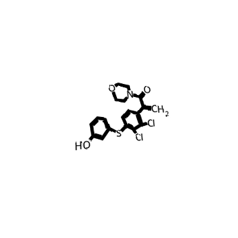 C=C(C(=O)N1CCOCC1)c1ccc(Sc2cccc(O)c2)c(Cl)c1Cl